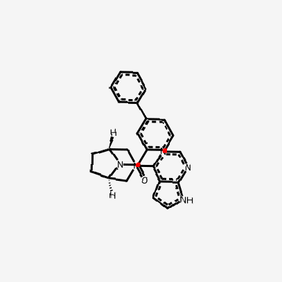 O=C(c1cccc(-c2ccccc2)c1)N1[C@@H]2CC[C@@H]1CN(c1ncnc3[nH]ccc13)C2